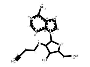 C#CCCOC1C(O)C(COC)OC1n1cnc2c(N)ncnc21